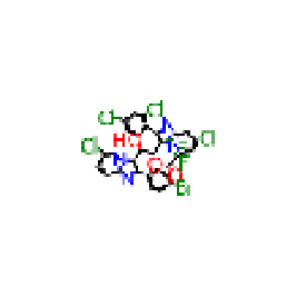 O=C(OC(c1c(-c2ccc(Cl)cc2Cl)nc2cc(Cl)ccn12)C(O)c1c(-c2ccc(Br)cc2)nc2ccc(Cl)cn12)C(F)(F)F